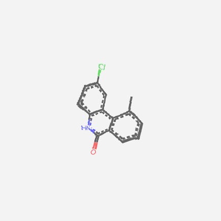 Cc1cccc2c(=O)[nH]c3ccc(Cl)cc3c12